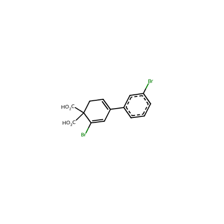 O=C(O)C1(C(=O)O)CC=C(c2cccc(Br)c2)C=C1Br